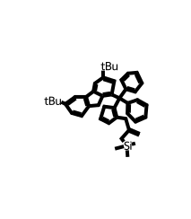 C=C(CC1=C(C(c2ccccc2)(c2ccccc2)c2cc(C(C)(C)C)cc3c2Cc2ccc(C(C)(C)C)cc2-3)CC=C1)C[Si](C)(C)C